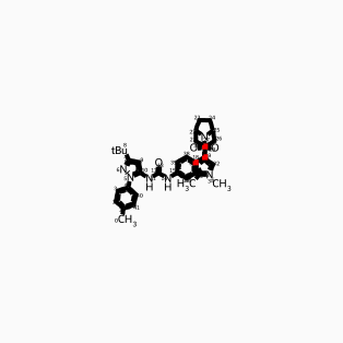 Cc1ccc(-n2nc(C(C)(C)C)cc2NC(=O)Nc2ccc(CC3CC4CCC(C3)N4S(=O)(=O)c3cn(C)c(C)n3)cc2)cc1